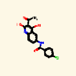 CC(=O)c1c(O)nc2ccc(NC(=O)c3ccc(Cl)cc3)cc2c1O